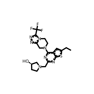 CCc1cc2c(N3CCn4c(nnc4C(F)(F)F)C3)nc(CN3CC[C@@H](O)C3)nc2s1